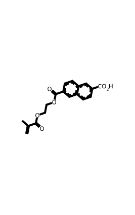 C=C(C)C(=O)OCCOC(=O)c1ccc2cc(C(=O)O)ccc2c1